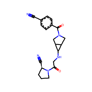 N#Cc1ccc(C(=O)N2CC3C(C2)C3NCC(=O)N2CCC[C@H]2C#N)cc1